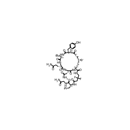 CC[C@H](C)[C@@H]1NC(=O)[C@@H](Cc2ccc(O)cc2)NC(=O)CC[S+]([O-])CC[C@@H](C(=O)NCC(F)(F)CC(=O)N[C@@H](CC(C)C)C(=O)NCC(N)=O)NC(=O)[C@H](CC(N)=O)NC(=O)[C@H](CCC(N)=O)NC1=O